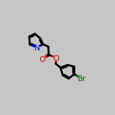 O=C(Cc1ccccn1)OCc1ccc(Br)cc1